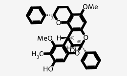 COc1cc2c(c3c1CC[C@@H](c1ccccc1)O3)[C@H]1c3c(cc(O)c(C)c3OC)O[C@](c3ccccc3)(O2)[C@@H]1O